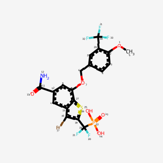 COc1ccc(COc2cc(C(N)=O)cc3c(Br)c(C(F)(F)P(=O)(O)O)sc23)cc1C(F)(F)F